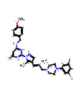 COc1ccc(CNc2cc(Cl)nc(-n3ncc(/C=C/CN4CCN(c5cc(F)cc(F)c5)C[C@H]4C)c3C)n2)cc1